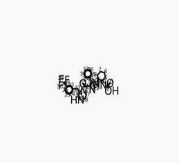 O=C(O)N[C@H]1CCCC[C@@H]1n1cnc(C(=O)N2CCNC[C@H]2Cc2cccc(C(F)(F)F)c2)c1-c1ccccc1